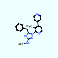 COc1c(-c2ccncc2)ccnc1N1N=C(NC=O)NC1Cc1ccccc1